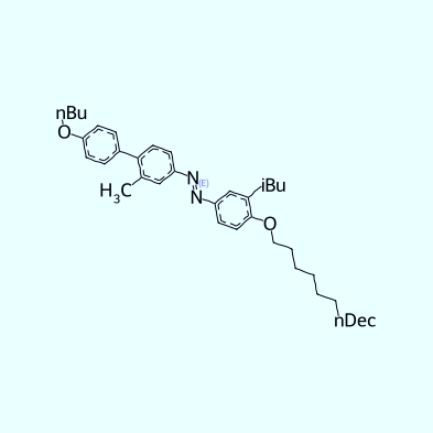 CCCCCCCCCCCCCCCCOc1ccc(/N=N/c2ccc(-c3ccc(OCCCC)cc3)c(C)c2)cc1C(C)CC